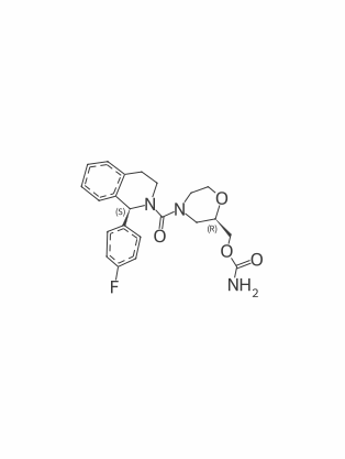 NC(=O)OC[C@H]1CN(C(=O)N2CCc3ccccc3[C@@H]2c2ccc(F)cc2)CCO1